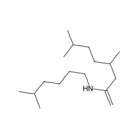 C=C(CC(C)CCC(C)C)NCCCCC(C)C